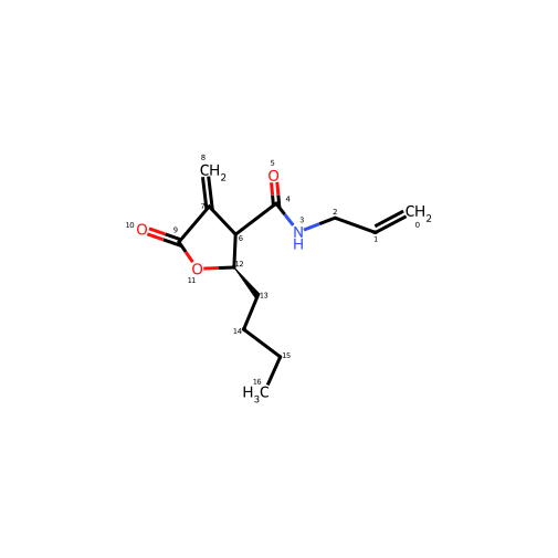 C=CCNC(=O)C1C(=C)C(=O)O[C@@H]1CCCC